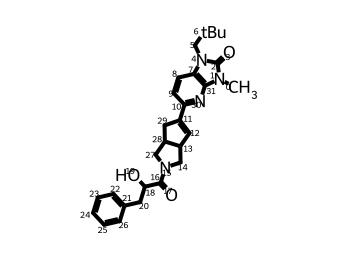 Cn1c(=O)n(CC(C)(C)C)c2ccc(C3=CC4CN(C(=O)C(O)Cc5ccccc5)CC4C3)nc21